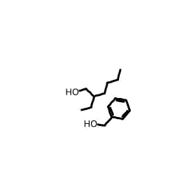 CCCCC(CC)CO.OCc1ccccc1